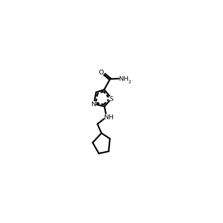 NC(=O)c1cnc(NCC2CCCC2)s1